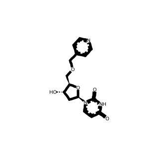 O=c1ccn([C@H]2C[C@H](O)[C@@H](COCc3ccncc3)O2)c(=O)[nH]1